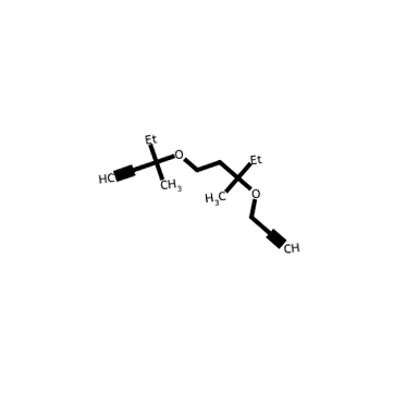 C#CCOC(C)(CC)CCOC(C)(C#C)CC